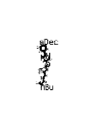 CCCCCCCCCCc1ccc(-c2ncc(OCCC(F)CCCC(C)CCCC)cn2)cc1